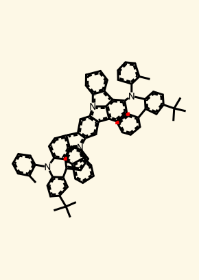 Cc1ccccc1N(c1ccc(C(C)(C)C)cc1-c1ccccc1)c1ccc2c3cc4c(cc3n3c5ccccc5c1c23)c1ccc(N(c2ccccc2C)c2ccc(C(C)(C)C)cc2-c2ccccc2)c2c3ccccc3n4c12